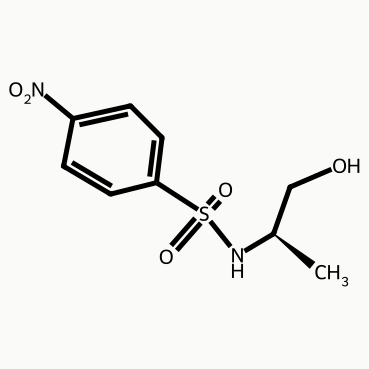 C[C@H](CO)NS(=O)(=O)c1ccc([N+](=O)[O-])cc1